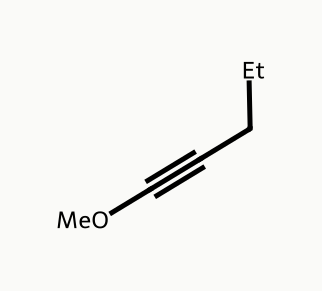 CCCC#COC